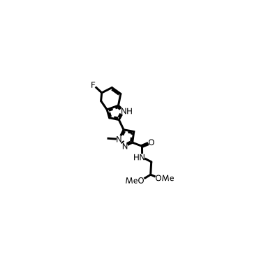 COC(CNC(=O)c1cc(-c2cc3c([nH]2)C=CC(F)C3)n(C)n1)OC